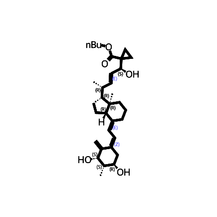 C=C1/C(=C\C=C2/CCC[C@]3(C)[C@@H]([C@H](C)/C=C/[C@H](O)C4(C(=O)OCCCC)CC4)CC[C@@H]23)C[C@@H](O)[C@H](C)[C@@H]1O